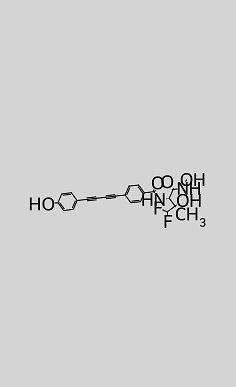 CC(O)(C(F)F)[C@H](NC(=O)c1ccc(C#CC#Cc2ccc(O)cc2)cc1)C(=O)NO